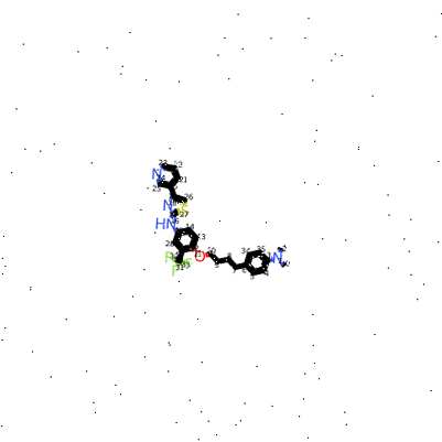 CN(C)c1ccc(CCCCOc2ccc(Nc3nc(-c4cccnc4)cs3)cc2C(F)(F)F)cc1